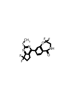 CSc1nc(-c2ccc3c(c2)OC(F)(F)CNC3=O)c2c(n1)C(F)(F)CC2